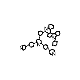 c1ccc(-n2c3ccccc3c3c4c(ccc32)c(-c2cccc(-c3cc(-c5ccc(-c6ccncc6)cc5)nc(-c5ccc(-c6ccncc6)cc5)c3)c2)nc2ccccc24)cc1